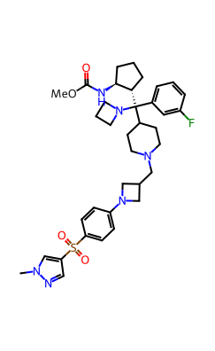 COC(=O)N[C@H]1CCC[C@@H]1C(c1cccc(F)c1)(C1CCN(CC2CN(c3ccc(S(=O)(=O)c4cnn(C)c4)cc3)C2)CC1)N1CCC1